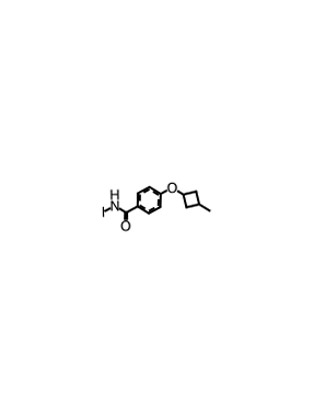 CC1CC(Oc2ccc(C(=O)NI)cc2)C1